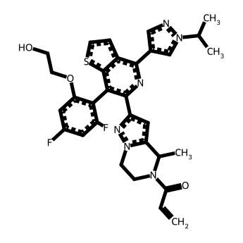 C=CC(=O)N1CCn2nc(-c3nc(-c4cnn(C(C)C)c4)c4ccsc4c3-c3c(F)cc(F)cc3OCCO)cc2C1C